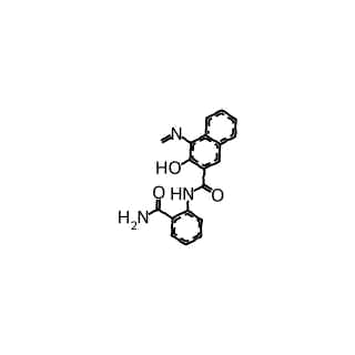 C=Nc1c(O)c(C(=O)Nc2ccccc2C(N)=O)cc2ccccc12